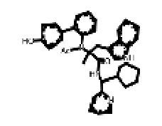 CC(=O)N(c1ccccc1-c1ccc(O)cc1)C(C)(Cc1c[nH]c2ccccc12)C(=O)NC(c1ccccn1)C1CCCCC1